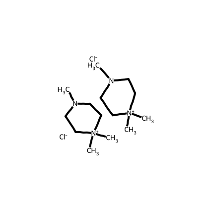 CN1CC[N+](C)(C)CC1.CN1CC[N+](C)(C)CC1.[Cl-].[Cl-]